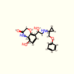 O=C1COc2c(C(O)CNC3(COc4ccccc4)CC3)ccc(O)c2N1